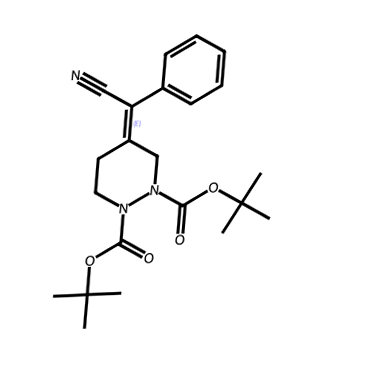 CC(C)(C)OC(=O)N1CC/C(=C(\C#N)c2ccccc2)CN1C(=O)OC(C)(C)C